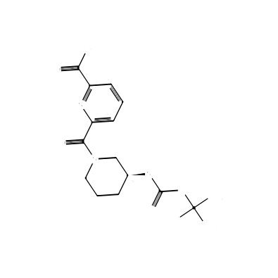 CC(C)(C)OC(=O)N[C@H]1CCCN(C(=O)c2cccc(C(=O)O)n2)C1